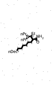 CCCCCCCCCCCCCCCCC(C(N)=O)C(CC)N(CCC)CCC